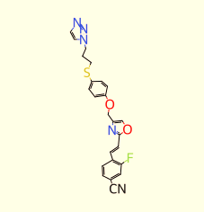 N#Cc1ccc(C=Cc2nc(COc3ccc(SCCCn4ccnn4)cc3)co2)c(F)c1